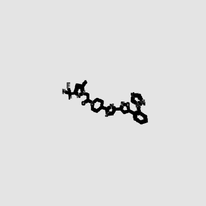 Cc1cc(C(F)(F)F)nn1CC(=O)N1CCC(c2nc(C3=NOC(c4ccccc4-n4cncn4)C3)cs2)CC1